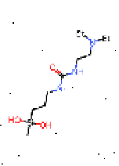 CCN(CC)CCNC(=O)NCCC[Si](C)(O)O